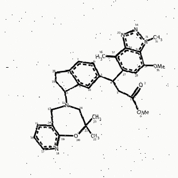 COC(=O)CC(c1ccc2c(c1)C(N1Cc3cccnc3OC(C)(C)C1)CC2)c1cc(OC)c2c(nnn2C)c1C